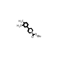 Cc1ccc(C2=CCN(C(=O)OC(C)(C)C)CC2)cc1C